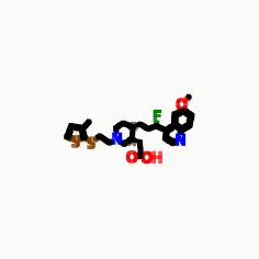 COc1ccc2nccc(C(F)CC[C@@H]3CCN(CCSc4sccc4C)C[C@@H]3CC(=O)O)c2c1